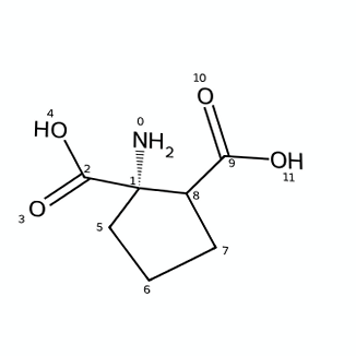 N[C@@]1(C(=O)O)CCCC1C(=O)O